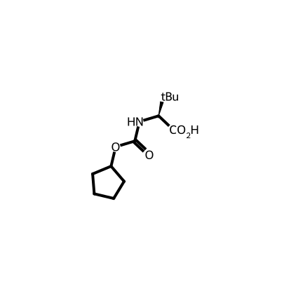 CC(C)(C)[C@H](NC(=O)OC1CCCC1)C(=O)O